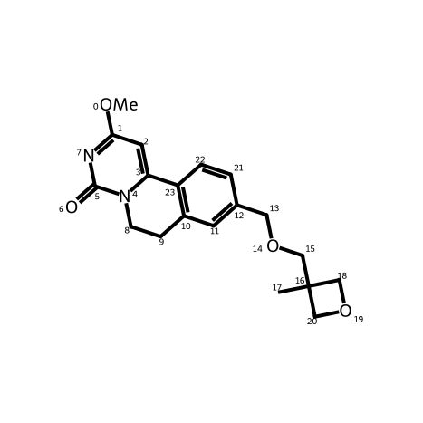 COc1cc2n(c(=O)n1)CCc1cc(COCC3(C)COC3)ccc1-2